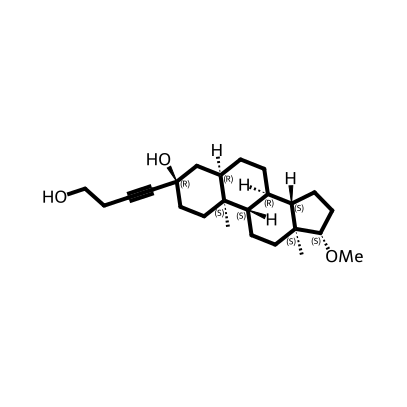 CO[C@H]1CC[C@H]2[C@@H]3CC[C@@H]4C[C@@](O)(C#CCCO)CC[C@]4(C)[C@H]3CC[C@]12C